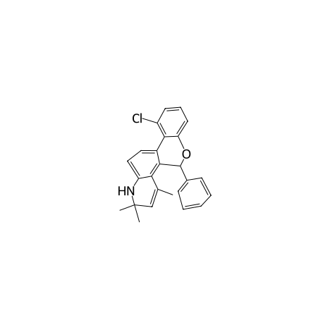 CC1=CC(C)(C)Nc2ccc3c(c21)C(c1ccccc1)Oc1cccc(Cl)c1-3